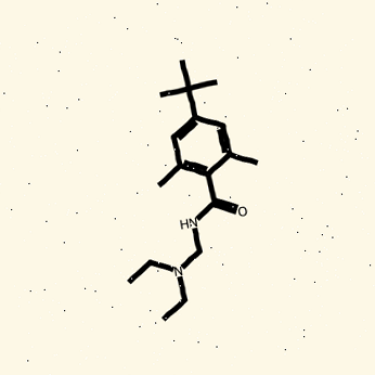 CCN(CC)CNC(=O)c1c(C)cc(C(C)(C)C)cc1C